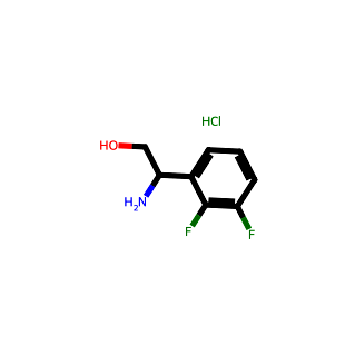 Cl.NC(CO)c1cccc(F)c1F